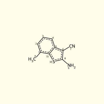 Cc1cccc2c(C#N)c(N)sc12